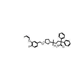 C/C=C\Oc1cc(CO[C@@H]2CCN(C(C)(C)CCC(C(N)=O)(c3ccccc3)c3ccccc3)C2)ccc1F